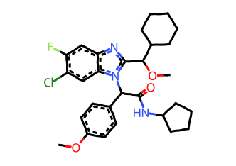 COc1ccc(C(C(=O)NC2CCCC2)n2c(C(OC)C3CCCCC3)nc3cc(F)c(Cl)cc32)cc1